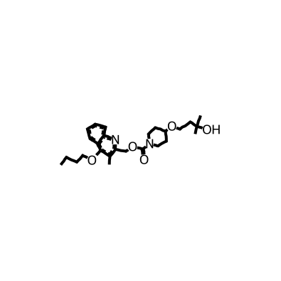 CCCCOc1c(C)c(COC(=O)N2CCC(OCCC(C)(C)O)CC2)nc2ccccc12